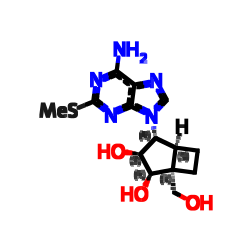 CSc1nc(N)c2ncn([C@H]3[C@H](O)[C@H](O)[C@]4(CO)CC[C@H]34)c2n1